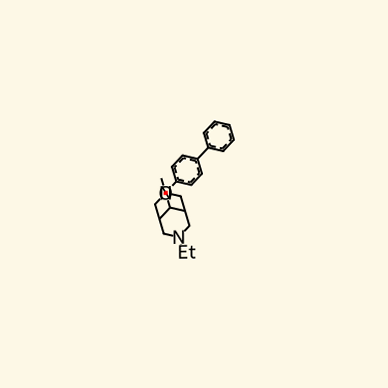 CCN1CC2CN(C)CC(C1)C2Oc1ccc(-c2ccccc2)cc1